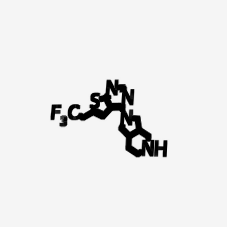 FC(F)(F)Cc1cc2c(N3CC4CCNCC4C3)ncnc2s1